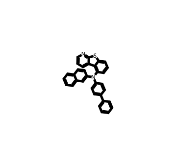 c1ccc(-c2ccc(N(c3ccc4ccccc4c3)c3cccc4sc5ncccc5c34)cc2)cc1